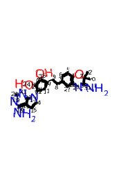 CC1(C)Oc2ccc(CC[C@H]3C[C@@H](n4ccc5c(N)ncnc54)[C@H](O)[C@@H]3O)cc2N=C1N